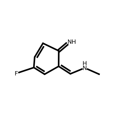 CN/C=C1/C=C(F)C=CC1=N